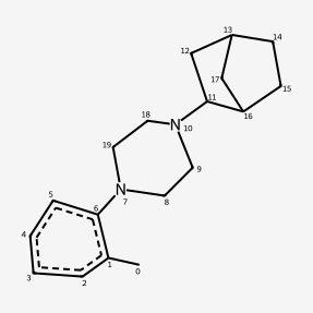 Cc1ccccc1N1CCN(C2CC3CCC2C3)CC1